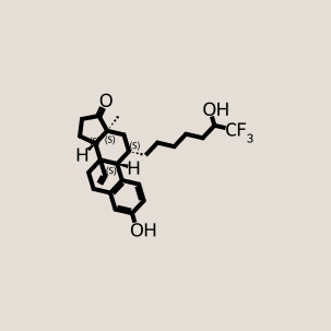 C=CC12CCc3cc(O)ccc3[C@H]1[C@@H](CCCCCC(O)C(F)(F)F)C[C@]1(C)C(=O)CC[C@@H]21